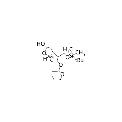 CC(C)(C)[Si](C)(C)OCC1C(OC2CCCCO2)C[C@@H]2OC(O)CC12